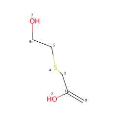 C=C(O)CSCCO